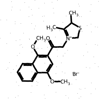 COc1cc(C(=O)C[N+]2=C(C)C(C)SC2)c(OC)c2ccccc12.[Br-]